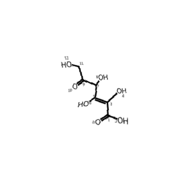 O=C(O)/C(O)=C(\O)C(O)C(=O)CO